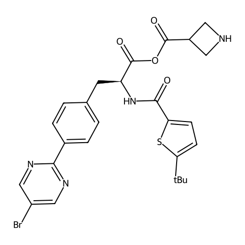 CC(C)(C)c1ccc(C(=O)N[C@@H](Cc2ccc(-c3ncc(Br)cn3)cc2)C(=O)OC(=O)C2CNC2)s1